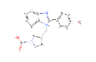 O=C(O)N1CC[C@@H](Cn2c(-c3ccc(Br)cc3)nc3ccccc32)C1